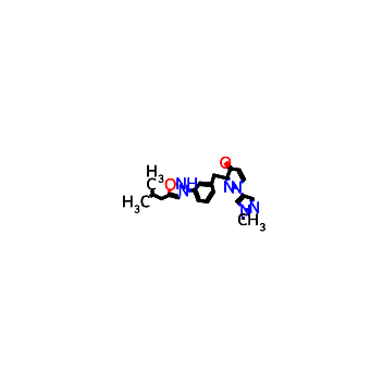 CC(C)CC1=CN(c2cccc(Cc3nn(-c4cnn(C)c4)ccc3=O)c2)NO1